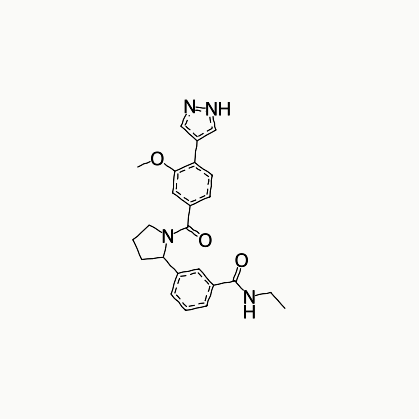 CCNC(=O)c1cccc(C2CCCN2C(=O)c2ccc(-c3cn[nH]c3)c(OC)c2)c1